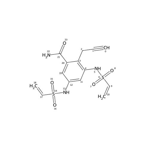 C#CCc1c(NS(=O)(=O)C=C)cc(NS(=O)(=O)C=C)cc1C(N)=O